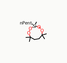 CCCCC[Si]1(C)OOC(C)(C)CCC(C)(C)OO1